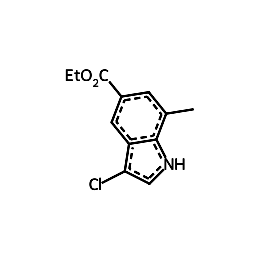 CCOC(=O)c1cc(C)c2[nH]cc(Cl)c2c1